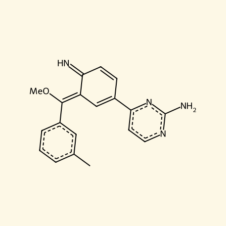 CO/C(=C1/C=C(c2ccnc(N)n2)C=CC1=N)c1cccc(C)c1